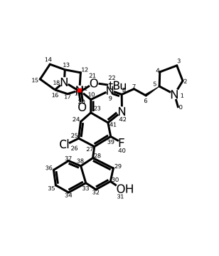 CN1CCC[C@@H]1CCc1nc(N2CC3CCC(C2)N3C(=O)OC(C)(C)C)c2cc(Cl)c(-c3cc(O)cc4ccccc34)c(F)c2n1